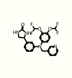 O=C1NCC(c2cccc(N(Cc3cccnc3)c3ccc(OC(F)F)c(OC(F)F)c3)c2)N1